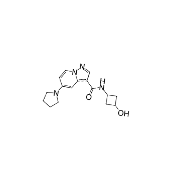 O=C(NC1CC(O)C1)c1cnn2ccc(N3CCCC3)cc12